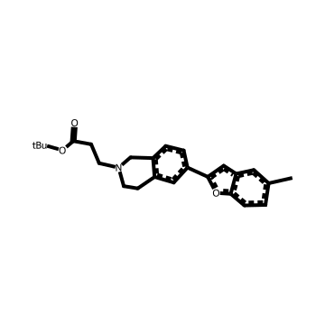 Cc1ccc2oc(-c3ccc4c(c3)CCN(CCC(=O)OC(C)(C)C)C4)cc2c1